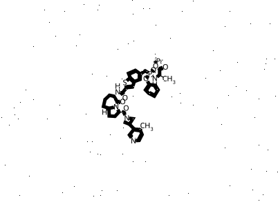 Cc1ccncc1C1CN(C(=O)[C@@H]2CC[C@@H]3CCC[C@H](NC(=O)c4cc5cc(CP(=O)(N[C@@H](C)C(=O)OC(C)C)Oc6ccccc6)ccc5s4)C(=O)N32)C1